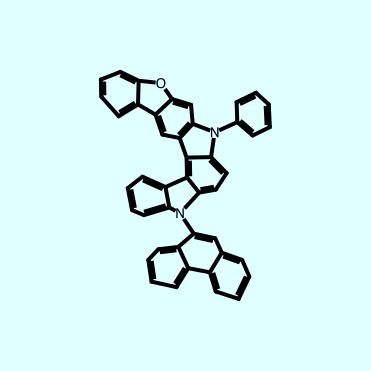 c1ccc(-n2c3cc4oc5ccccc5c4cc3c3c4c5ccccc5n(-c5cc6ccccc6c6ccccc56)c4ccc32)cc1